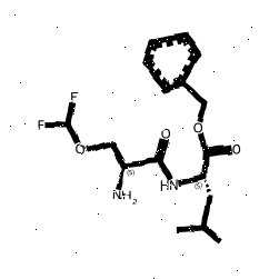 CC(C)C[C@H](NC(=O)[C@@H](N)COC(F)F)C(=O)OCc1ccccc1